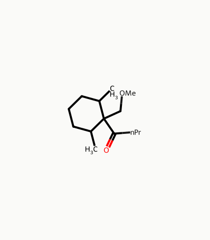 CCCC(=O)C1(COC)C(C)CCCC1C